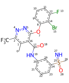 Cc1c(C(F)(F)F)nnc(Oc2cccc(F)c2Br)c1C(=O)Nc1cccc(S(C)(=N)=O)c1